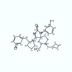 CC1CC2(CCN1CC1CCC1)C(N1CCCC1Cc1cccc(Cl)c1)=NC(=O)N2c1cccc(F)c1